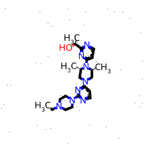 CCN1CCN(c2nccc(N3C[C@@H](C)N(c4ccnc([C@@H](C)O)n4)[C@@H](C)C3)n2)CC1